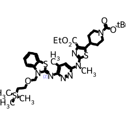 CCOC(=O)c1nc(N(C)c2cc(C)c(/N=c3\sc4ccccc4n3COCC[Si](C)(C)C)nn2)sc1C1CCN(C(=O)OC(C)(C)C)CC1